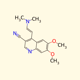 COc1cc2ncc(C#N)c(C=CN(C)C)c2cc1OC